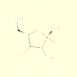 B[C@]1(C)O[C@H](CO)C(O)C1O